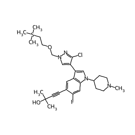 CN1CCC(n2cc(-c3cn(COCCS(C)(C)C)nc3Cl)c3cc(C#CC(C)(C)O)c(F)cc32)CC1